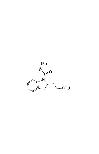 CC(C)(C)OC(=O)N1c2ccccc2CC1CCC(=O)O